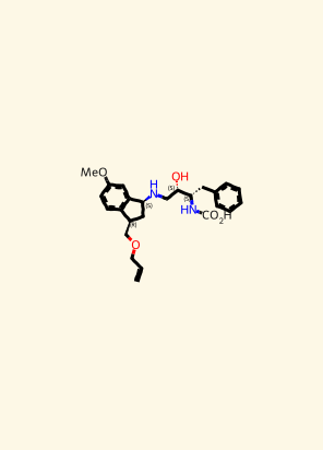 C=CCOC[C@@H]1C[C@H](NC[C@H](O)[C@H](Cc2ccccc2)NC(=O)O)c2cc(OC)ccc21